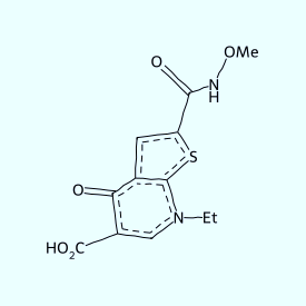 CCn1cc(C(=O)O)c(=O)c2cc(C(=O)NOC)sc21